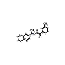 C/C(=N\NC(=O)c1cccc(C)c1)c1ccc2c(c1)OCCO2